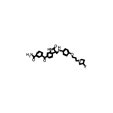 NC(=O)c1cccc(C(=O)c2ccc3c(c2)NC(=O)C3=CNc2ccc(OCCCN3CCC(F)C3)cc2)c1